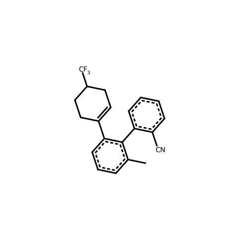 Cc1cccc(C2=CCC(C(F)(F)F)CC2)c1-c1ccccc1C#N